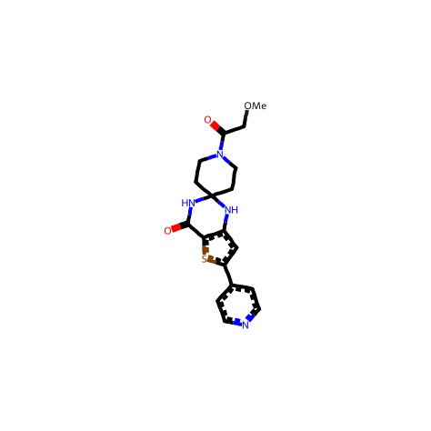 COCC(=O)N1CCC2(CC1)NC(=O)c1sc(-c3ccncc3)cc1N2